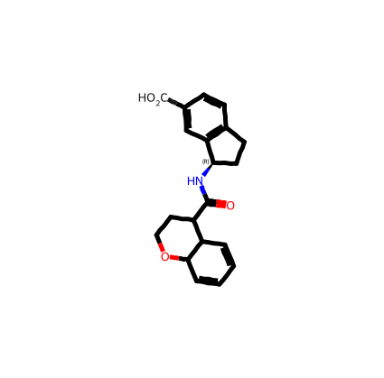 O=C(O)c1ccc2c(c1)[C@H](NC(=O)C1CCOC3C=CC=CC31)CC2